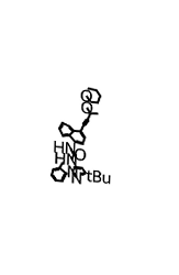 Cc1ccccc1-n1nc(C(C)(C)C)cc1NC(=O)Nc1ccc(C#CC(C)OC2CCCCO2)c2ccccc12